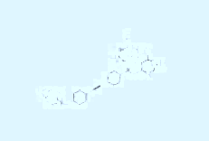 C[C@H](CF)NC[C@H](Cc1nc[nH]c(=O)c1O)c1ccc(C#Cc2ccc(CN3CCOCC3)cc2)cc1